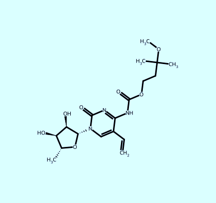 C=Cc1cn([C@@H]2O[C@H](C)[C@@H](O)[C@H]2O)c(=O)nc1NC(=O)OCCC(C)(C)OC